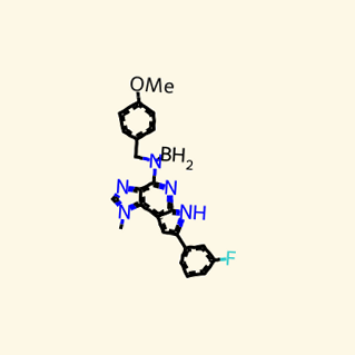 BN(Cc1ccc(OC)cc1)c1nc2[nH]c(-c3cccc(F)c3)cc2c2c1ncn2C